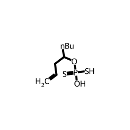 C=CCC(CCCC)OP(O)(=S)S